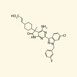 CC1(C2CCC(/C=C/C(=O)O)CC2)C(=O)Nc2nc(-c3nn(Cc4cccc(F)c4)c4cc(Cl)ccc34)nc(N)c21